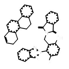 C1=Cc2ccc3c(c2CC1)CCc1ccccc1-3.Cc1ccc(O)c(-n2nc3ccccc3n2)c1CN1C(=O)c2ccccc2C1=O